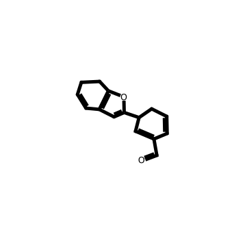 O=CC1=CC(c2cc3c(o2)CCC=C3)CC=C1